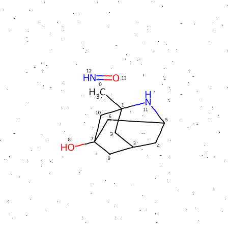 CC12CC3CC(CC(O)(C3)C1)N2.N=O